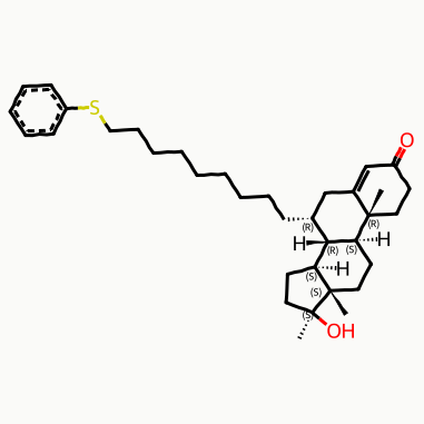 C[C@]12CCC(=O)C=C1C[C@@H](CCCCCCCCCSc1ccccc1)[C@@H]1[C@@H]2CC[C@@]2(C)[C@H]1CC[C@]2(C)O